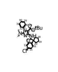 CN(C)c1nc(NC(=O)C2(c3ccc(Cl)cc3)CCCC2)c(C(=O)OC(C)(C)C)n1-c1ccccc1